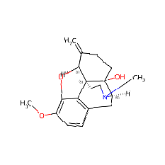 C=C1CCC2(O)[C@H]3Cc4ccc(OC)c5c4[C@@]2(CCN3C)[C@H]1O5